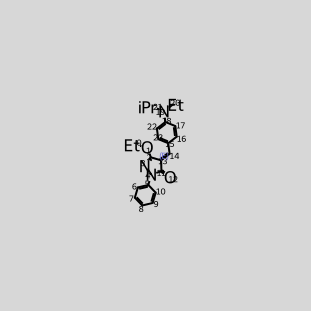 CCOC1=NN(c2ccccc2)C(=O)/C1=C/c1ccc(N(CC)C(C)C)cc1